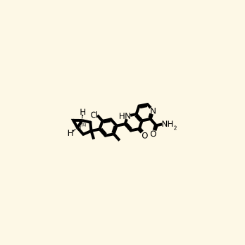 Cc1cc(C2(C)C[C@H]3C[C@H]3C2)c(Cl)cc1-c1cc(=O)c2c(C(N)=O)nccc2[nH]1